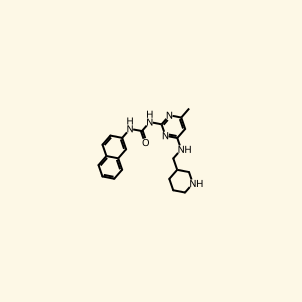 Cc1cc(NCC2CCCNC2)nc(NC(=O)Nc2ccc3ccccc3c2)n1